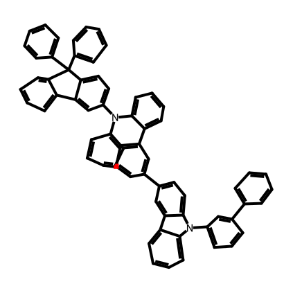 c1ccc(-c2cccc(-n3c4ccccc4c4cc(-c5cccc(-c6ccccc6N(c6ccccc6)c6ccc7c(c6)-c6ccccc6C7(c6ccccc6)c6ccccc6)c5)ccc43)c2)cc1